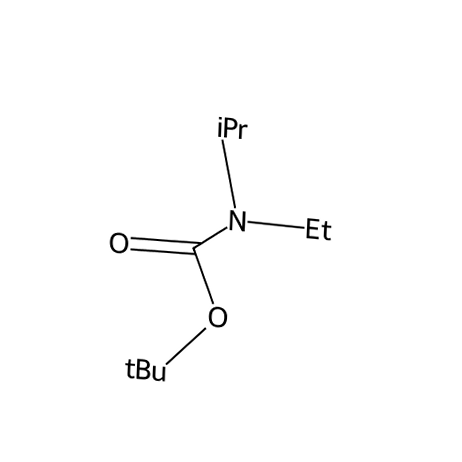 [CH2]CN(C(=O)OC(C)(C)C)C(C)C